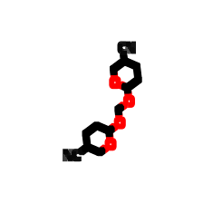 N#CC1CCC(OCOC2CCC(C#N)CO2)OC1